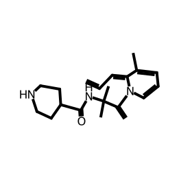 C=C/C=C1/C(C)=CC=CN1C(=C)C(C)(C)NC(=O)C1CCNCC1